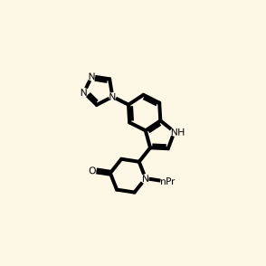 CCCN1CCC(=O)CC1c1c[nH]c2ccc(-n3cnnc3)cc12